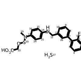 CCc1ccccc1-c1cccc(CNc2ccc(N(C)SOCC(=O)O)cc2)c1.S